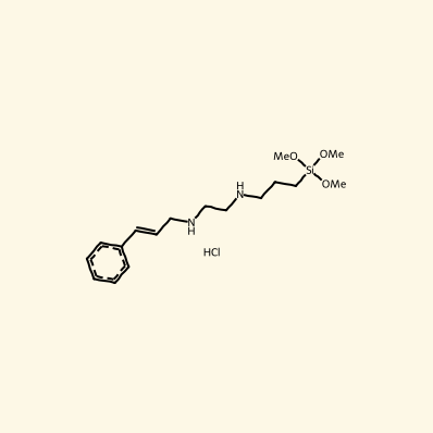 CO[Si](CCCNCCNCC=Cc1ccccc1)(OC)OC.Cl